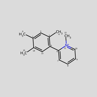 Cc1cc(C)c(-c2cccc[n+]2C)cc1C